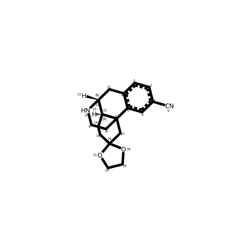 N#Cc1ccc2c(c1)C13CCN[C@H](C2)[C@@H]1CCC1(C3)OCCO1